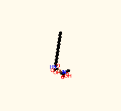 CCCCCCCCCCCCCCCCCCCC(=O)NC(CSSCC(NC(=O)CC)C(=O)O)C(=O)O